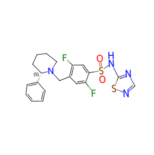 O=S(=O)(Nc1ncns1)c1cc(F)c(CN2CCCC[C@H]2c2ccccc2)cc1F